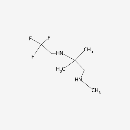 CNCC(C)(C)NCC(F)(F)F